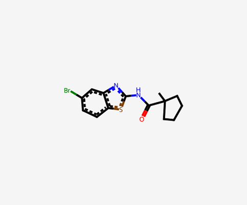 CC1(C(=O)Nc2nc3cc(Br)ccc3s2)CCCC1